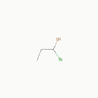 CCC(S)Br